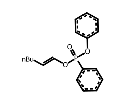 CCCCC=COP(=O)(Oc1ccccc1)c1ccccc1